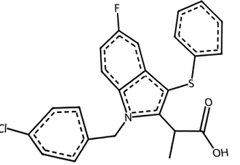 CC(C(=O)O)c1c(Sc2ccccc2)c2cc(F)ccc2n1Cc1ccc(Cl)cc1